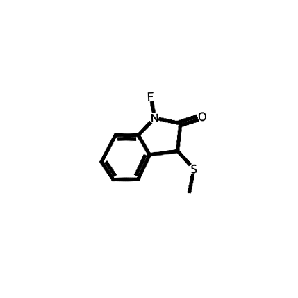 CSC1C(=O)N(F)c2ccccc21